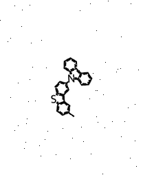 Cc1ccc2sc3ccc(-n4c5ccccc5c5ccccc54)cc3c2c1